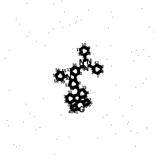 c1ccc(-c2nc(-c3ccccc3)nc(-c3ccc4c(c3)c3cc(-c5cccc6c5-c5ccccc5C65c6ccccc6Oc6ccccc65)ccc3n4-c3ccccc3)n2)cc1